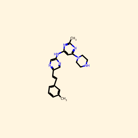 Cc1cccc(/C=C/c2cnc(Nc3cc(N4CCNCC4)nc(C)n3)cn2)c1